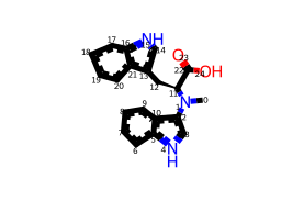 CN(c1c[nH]c2ccccc12)[C@@H](Cc1c[nH]c2ccccc12)C(=O)O